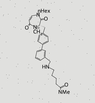 CCCCCCN1C=CC(=O)N(C)[C@@H](Cc2ccc(-c3cccc(CNCCCCC(=O)NC)c3)cc2)C1=O